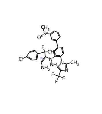 Cc1nc(C(F)(F)F)cn1-c1ccc(-c2cccc([S+](C)[O-])c2)cc1N(N)/C(=C\N)C(C)(F)c1ccc(Cl)cc1